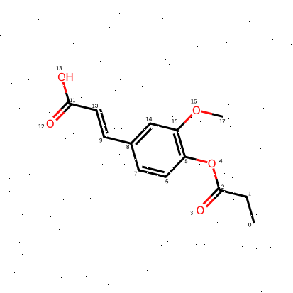 CCC(=O)Oc1ccc(/C=C/C(=O)O)cc1OC